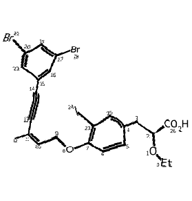 CCO[C@@H](Cc1ccc(OC/C=C(/C)C#Cc2cc(Br)cc(Br)c2)c(I)c1)C(=O)O